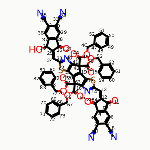 N#Cc1cc2c(cc1C#N)C(=O)C(=Cc1nc3c(s1)C1=C(c4sc(/C=C5\C(=O)c6cc(C#N)c(C#N)cc6C5O)nc4C1(C(=O)OCc1ccccc1)C(=O)OCc1ccccc1)C3(C(=O)OCc1ccccc1)C(=O)OCc1ccccc1)C2=O